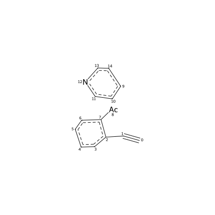 C#Cc1ccccc1C(C)=O.c1ccncc1